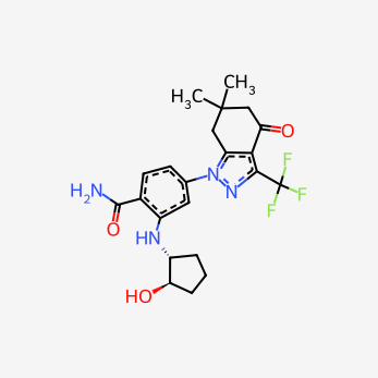 CC1(C)CC(=O)c2c(C(F)(F)F)nn(-c3ccc(C(N)=O)c(N[C@@H]4CCC[C@H]4O)c3)c2C1